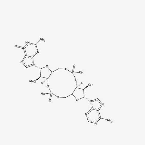 CO[C@@H]1[C@@H]2OP(=O)(O)OCC3O[C@@H](n4cnc5c(N)ncnc54)[C@H](O)[C@@H]3OP(=O)(O)OCC2O[C@H]1n1cnc2c(=O)[nH]c(N)nc21